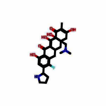 CC1=C(O)C[C@]2(CN(C)C)CC3Cc4c(F)c(C5CCCN5)cc(O)c4C(=O)C3=C(O)[C@]2(O)C1=O